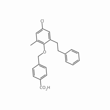 Cc1cc(Cl)cc(CCc2ccccc2)c1OCc1ccc(C(=O)O)cc1